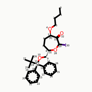 CCCCO[C@@H]1CC[C@@H](CO[Si](c2ccccc2)(c2ccccc2)C(C)(C)C)OC(I)C1=O